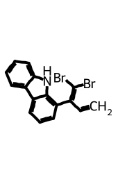 C=CC(=C(Br)Br)c1cccc2c1[nH]c1ccccc12